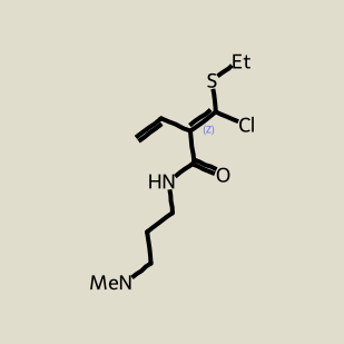 C=C/C(C(=O)NCCCNC)=C(/Cl)SCC